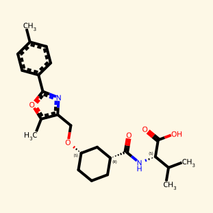 Cc1ccc(-c2nc(CO[C@H]3CCC[C@@H](C(=O)N[C@H](C(=O)O)C(C)C)C3)c(C)o2)cc1